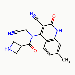 Cc1ccc2c(N(CC#N)C(=O)C3CNC3)c(C#N)c(=O)[nH]c2c1